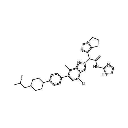 C=C(Nc1ncc[nH]1)C(c1ncn2c1CCC2)n1cc2c(Cl)cc(-c3ccc(C4CCN(CC(C)F)CC4)cc3)c(C)c2n1